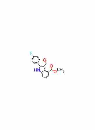 COC(=O)c1cccc2[nH]c(-c3ccc(F)cc3)c(C=O)c12